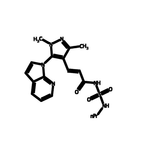 CCCNS(=O)(=O)NC(=O)/C=C/c1c(C)nn(C)c1-n1ccc2cccnc21